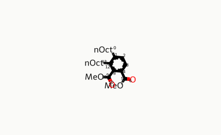 CCCCCCCCc1ccc(C(=O)OC)c(C(=O)OC)c1CCCCCCCC